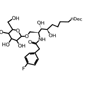 CCCCCCCCCCCCCC[C@@H](O)[C@@H](O)[C@H](COC1OC(CO)C(O)C(O)C1O)NC(=O)Cc1ccc(F)cc1